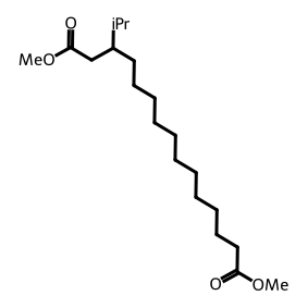 COC(=O)CCCCCCCCCCCC(CC(=O)OC)C(C)C